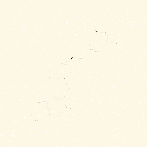 Cc1cc(OC[C@@H]2CC[C@@H](C)N([C@H](C)c3nc4c(cc3F)OCCO4)C2)cc(C)n1